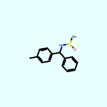 Cc1ccc(C(N[S+]([O-])C(C)(C)C)c2ccccc2)cc1